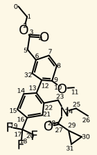 CCOC(=O)Cc1ccc(OC)c(-c2ccc(C(F)(F)F)cc2CN(CC)C(=O)C2CC2)c1